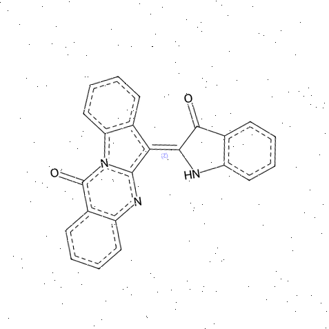 O=C1/C(=c2\c3ccccc3n3c(=O)c4ccccc4nc23)Nc2ccccc21